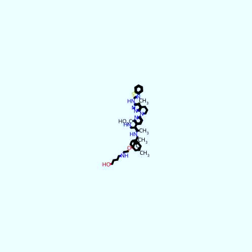 C/C(NCC1CC2(C)CC3(C)CC1CC(OCCNCCCCO)(C2)C3)=C(/C=N)c1ccc(N2CCCc3c2nnc(Nc2nc4ccccc4s2)c3C)nc1C(=O)O